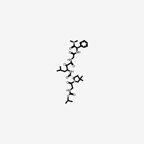 CC(C)CC(NC(=O)[C@@H]1CC(C)(C)CN1C(=O)CNC(=O)OC(C)C)C(=O)C(=O)NCC(=O)NC(C(=O)N(C)C)c1ccccc1